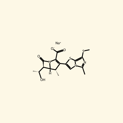 CSc1nc(C)n2cc(C3=C(C(=O)[O-])N4C(=O)[C@H]([C@@H](C)O)[C@H]4[C@H]3C)sc12.[Na+]